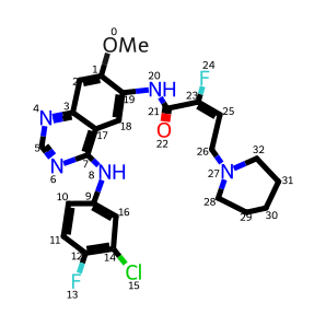 COc1cc2ncnc(Nc3ccc(F)c(Cl)c3)c2cc1NC(=O)/C(F)=C\CN1CCCCC1